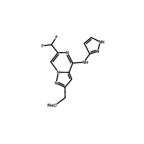 COCc1cc2c(Nc3cc[nH]n3)nc(C(F)F)cn2n1